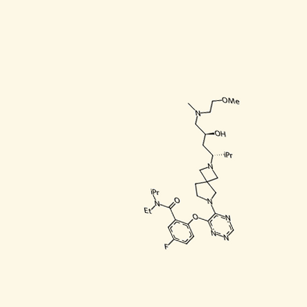 CCN(C(=O)c1cc(F)ccc1Oc1nncnc1N1CCC2(C1)CN([C@H](C[C@H](O)CN(C)CCOC)C(C)C)C2)C(C)C